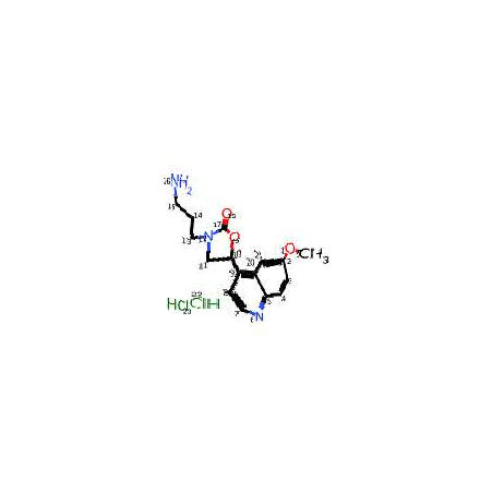 COc1ccc2nccc(C3CN(CCCN)C(=O)O3)c2c1.Cl.Cl